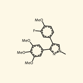 COc1ccc(-c2cn(C)nc2-c2cc(OC)c(OC)c(OC)c2)cc1F